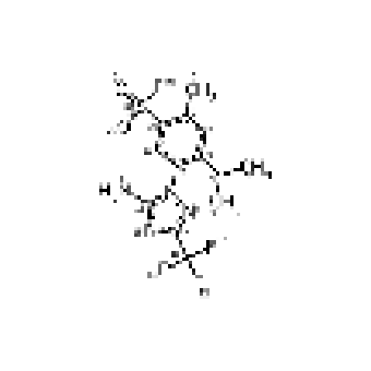 Cc1cc(C(C)C)c(-n2nc(C(F)(F)F)nc2N)cc1S(=O)(=O)F